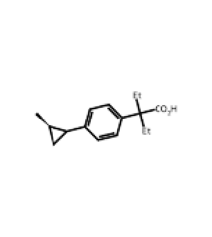 CCC(CC)(C(=O)O)c1ccc(C2C[C@H]2C)cc1